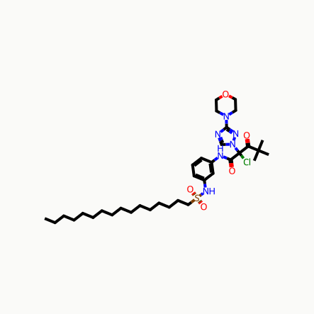 CCCCCCCCCCCCCCCCS(=O)(=O)Nc1cccc(NC(=O)C(Cl)(C(=O)C(C)(C)C)n2cnc(N3CCOCC3)n2)c1